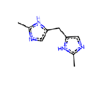 Cc1ncc(Cc2cnc(C)[nH]2)[nH]1